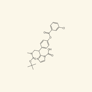 CN(CC(c1ccc(OC(=O)c2cccc(Cl)c2)cc1)c1nccn1C(=O)O)C(=O)OC(C)(C)C